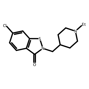 CCN1CCC(Cn2sc3cc(Cl)ccc3c2=O)CC1